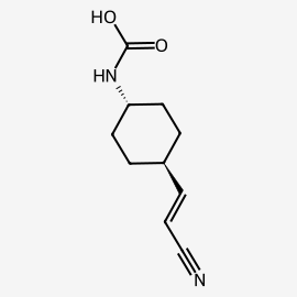 N#CC=C[C@H]1CC[C@H](NC(=O)O)CC1